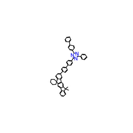 CC1(C)c2ccccc2-c2cc3c(cc21)-c1cc(-c2ccc(-c4ccc(-c5nc(-c6ccccc6)nc(-c6ccc(-c7ccccc7)cc6)n5)cc4)cc2)ccc1C31CCCCC1